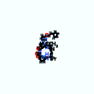 CC(C)C1CC[C@@H]2CN(c3nc(-n4ccc(OCCC5CCCC5)n4)ccc3C(=O)NS(=O)(=O)c3cccc(n3)N1)C(C)(C)C2